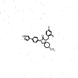 CN1CCC2(CC1)CN(c1ccc(-c3cn[nH]c3)cc1)C(=O)N2Cc1ccc(F)cc1F